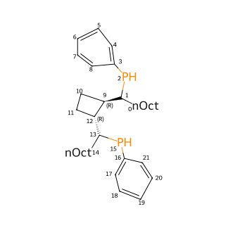 CCCCCCCCC(Pc1ccccc1)[C@@H]1CC[C@H]1C(CCCCCCCC)Pc1ccccc1